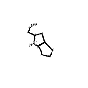 CC(C)(C)CC1CC2CCCC2N1